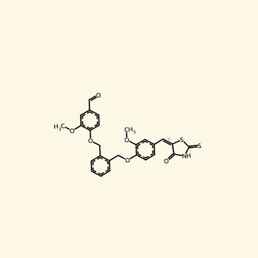 COc1cc(C=O)ccc1OCc1ccccc1COc1ccc(/C=C2/SC(=S)NC2=O)cc1OC